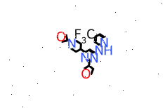 FC(F)(F)c1ccnc(Nc2cc(C3CCN(C4COC4)CC3)nc(C3CCOC3)n2)c1